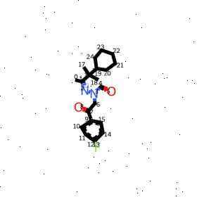 C/C(=N/N(C=O)CC(=O)c1ccc(F)cc1)C(C)(C)C1CCCCC1